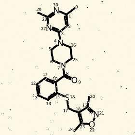 Cc1cc(N2CCN(C(=O)c3ccccc3SCc3c(C)noc3C)CC2)nc(C)n1